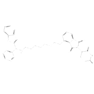 O=C1CCC(N2C(=O)c3cccc(CCOCCCCCNC(c4cccnc4)c4cc5ccccc5o4)c3C2=O)C(=O)N1